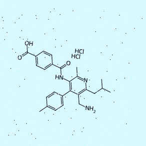 Cc1ccc(-c2c(CN)c(CC(C)C)nc(C)c2NC(=O)c2ccc(C(=O)O)cc2)cc1.Cl.Cl